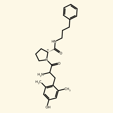 Cc1cc(O)cc(C)c1CC(N)C(=O)N1CCC[C@@H]1C(=O)NCCCc1ccccc1